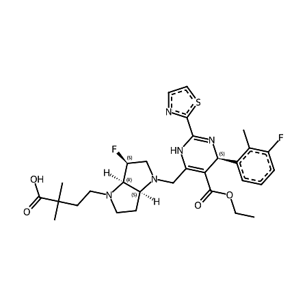 CCOC(=O)C1=C(CN2C[C@H](F)[C@H]3[C@@H]2CCN3CCC(C)(C)C(=O)O)NC(c2nccs2)=N[C@H]1c1cccc(F)c1C